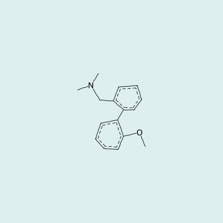 COc1ccccc1-c1ccccc1CN(C)C